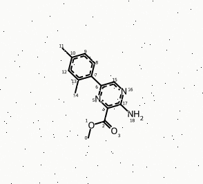 COC(=O)c1nc(-c2ccc(C)cc2C)cnc1N